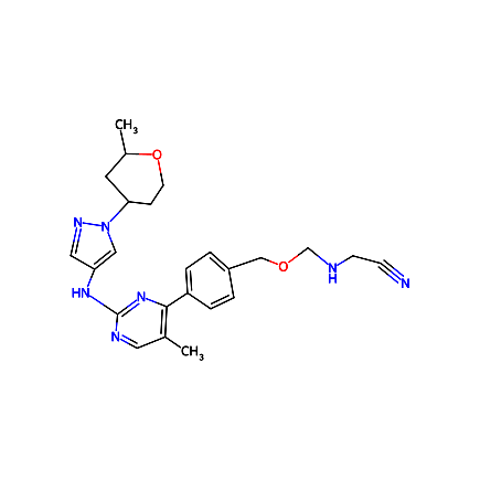 Cc1cnc(Nc2cnn(C3CCOC(C)C3)c2)nc1-c1ccc(COCNCC#N)cc1